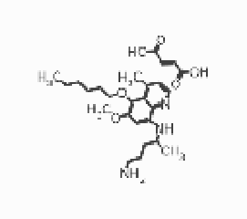 CCCCCCOc1c(OC)cc(NC(C)CCCN)c2nccc(C)c12.O=C(O)C=CC(=O)O